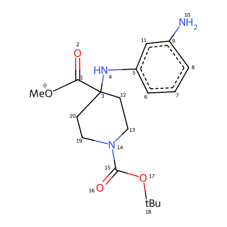 COC(=O)C1(Nc2cccc(N)c2)CCN(C(=O)OC(C)(C)C)CC1